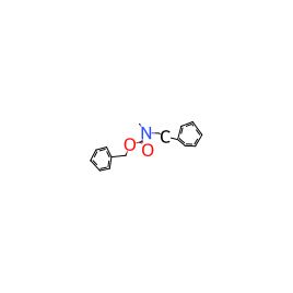 CN(CCc1ccccc1)C(=O)OCc1ccccc1